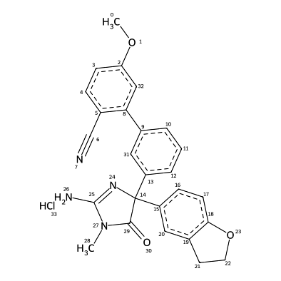 COc1ccc(C#N)c(-c2cccc(C3(c4ccc5c(c4)CCO5)N=C(N)N(C)C3=O)c2)c1.Cl